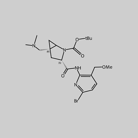 COCc1ccc(Br)nc1NC(=O)[C@@H]1C[C@@]2(CN(C)C)CC2N1C(=O)OC(C)(C)C